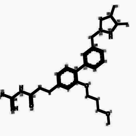 COCCCOc1cc(CCC(=O)NC(=N)N)ccc1-c1cccc(CN2CC(C)C(C)N2)c1